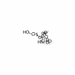 COC(C)OC(=O)C1=C(C)NC(C)=C(C(=O)OCCSc2ccc(CCO)cc2)C1c1cccc([N+](=O)[O-])c1